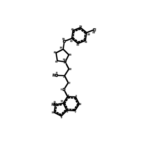 OC(COc1cccc2cc[nH]c12)CN1CCC(Oc2ccc(Cl)cc2)C1